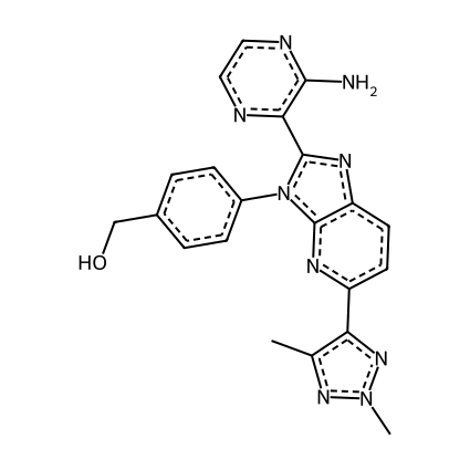 Cc1nn(C)nc1-c1ccc2nc(-c3nccnc3N)n(-c3ccc(CO)cc3)c2n1